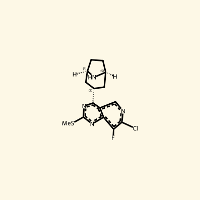 CSc1nc([C@@H]2C[C@H]3CC[C@@H](C2)N3)c2cnc(Cl)c(F)c2n1